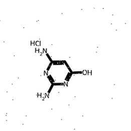 Cl.Nc1cc(O)nc(N)n1